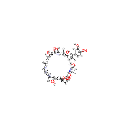 CO[C@H]1C[C@@H]2CC[C@@H](C)[C@@](O)(O2)C(=O)C(=O)N2CCCCC2C(=O)C[C@H]([C@H](C)CC2CC[C@@H](O)[C@H](OC)C2)CC(=O)[C@H](C)/C=C(\C)[C@H](O)CC(=O)[C@H](C)C[C@H](C)/C=C/C=C/C=C/1C